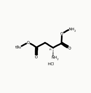 CC(C)(C)OC(=O)C[C@@H](N)C(=O)ON.Cl